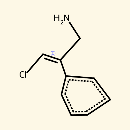 NC/C(=C/Cl)c1ccccc1